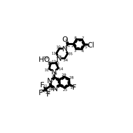 O=C(c1ccc(Cl)cc1)N1CCN([C@H]2CN(c3nc(C(F)(F)F)nc4cc(F)ccc34)C[C@@H]2O)CC1